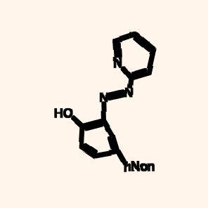 CCCCCCCCCc1ccc(O)c(N=Nc2ccccn2)c1